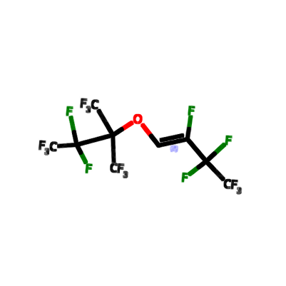 F/C(=C\OC(C(F)(F)F)(C(F)(F)F)C(F)(F)C(F)(F)F)C(F)(F)C(F)(F)F